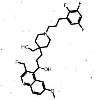 COc1ccc2ncc(CF)c([C@H](O)CCC3(CO)CCN(CCCc4cc(F)cc(F)c4F)CC3)c2c1